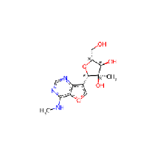 CNc1ncnc2c([C@@H]3O[C@H](CO)[C@@H](O)[C@@]3(C)O)coc12